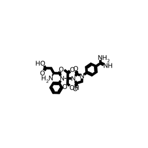 CC(=O)[C@](C(=O)O)(N1C(=O)CN(c2ccc(C(=N)N)cc2)C1=O)N(C(=O)[C@@H](N)CC(=O)O)c1ccccc1